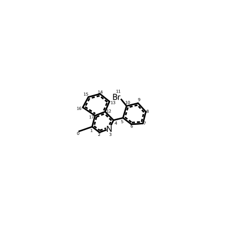 Cc1cnc(-c2ccccc2Br)c2ccccc12